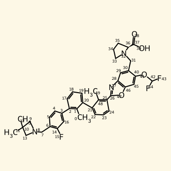 Cc1c(-c2ccc(CN3CC(C)(C)C3)c(F)c2)cccc1-c1cccc(-c2nc3cc(CN4CCC[C@H]4C(=O)O)c(OC(F)F)cc3o2)c1C